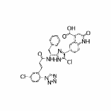 O=C(/C=C/c1cc(Cl)ccc1-n1cnnn1)N[C@@H](Cc1ccccc1)c1nc(-c2ccc3[nH]c(=O)cc(C(=O)O)c3c2)c(Cl)[nH]1